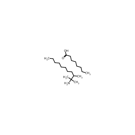 CCCCCCCC(=O)O.CCCCCCCCC(C)C(C)(C)N